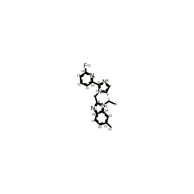 CCn1c(Cn2ccnc2-c2cccc(F)n2)nc2ccc(C)cc21